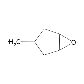 [CH2]C1CC2OC2C1